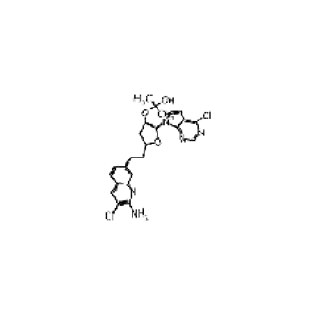 CC(C)(O)O[C@@H]1CC(CCc2ccc3cc(Cl)c(N)nc3c2)OC1n1ccc2c(Cl)ncnc21